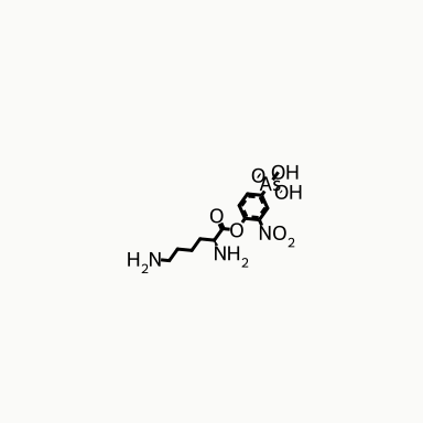 NCCCC[C@H](N)C(=O)Oc1ccc([As](=O)(O)O)cc1[N+](=O)[O-]